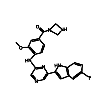 COc1cc(C(=O)N2CNC2)ccc1Nc1cncc(-c2cc3cc(F)ccc3[nH]2)n1